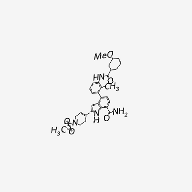 COC1CCCC(C(=O)Nc2cccc(-c3ccc(C(N)=O)c4[nH]c(C5=CCN(S(C)(=O)=O)CC5)cc34)c2C)C1